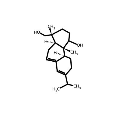 CC(C)C1=CC2=CC[C@H]3[C@](C)(CO)CCC(O)[C@]3(C)[C@H]2CC1